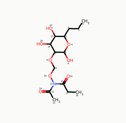 CCCC1OC(O)C(OCON(C(C)=O)C(=O)CC)C(O)C1O